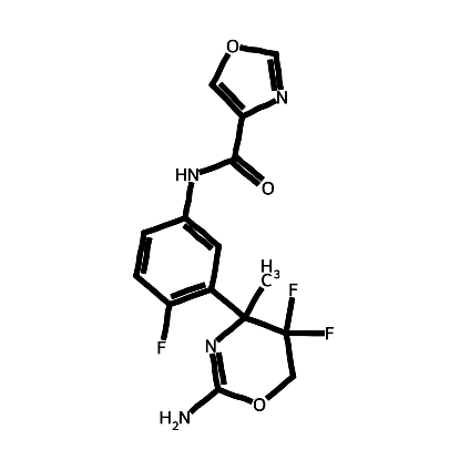 CC1(c2cc(NC(=O)c3cocn3)ccc2F)N=C(N)OCC1(F)F